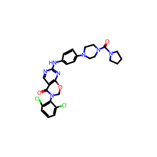 O=C(N1CCCC1)N1CCN(c2ccc(Nc3ncc4c(n3)OCN(c3c(Cl)cccc3Cl)C4=O)cc2)CC1